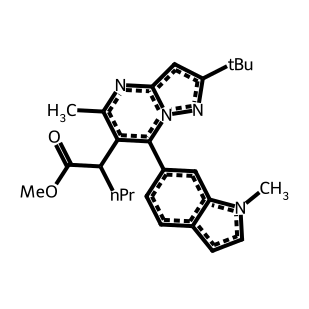 CCCC(C(=O)OC)c1c(C)nc2cc(C(C)(C)C)nn2c1-c1ccc2ccn(C)c2c1